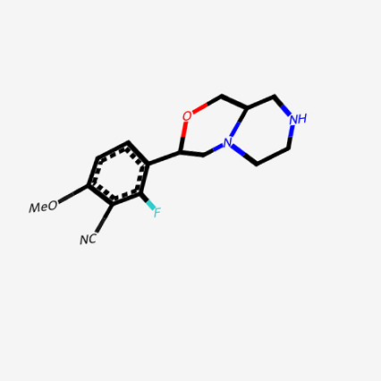 COc1ccc(C2CN3CCNCC3CO2)c(F)c1C#N